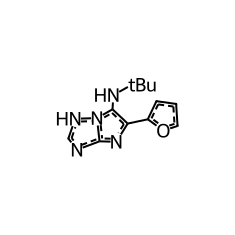 CC(C)(C)Nc1c(-c2ccco2)nc2nc[nH]n12